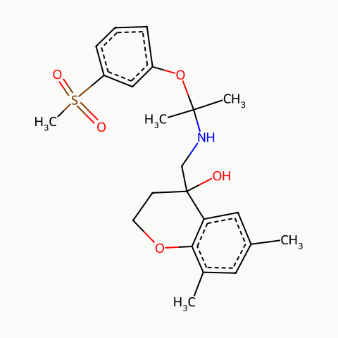 Cc1cc(C)c2c(c1)C(O)(CNC(C)(C)Oc1cccc(S(C)(=O)=O)c1)CCO2